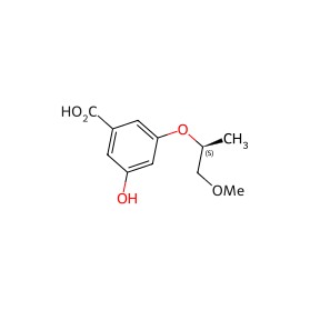 COC[C@H](C)Oc1cc(O)cc(C(=O)O)c1